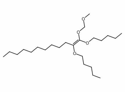 CCCCCCCCCCC(OCCCCC)=C(OCCCCC)OCOC